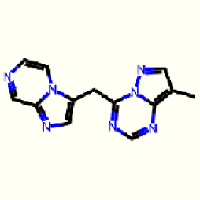 Cc1cnn2c(Cc3cnc4cnccn34)ncnc12